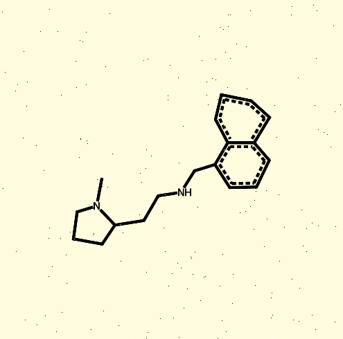 CN1CCCC1CCNCc1cccc2ccccc12